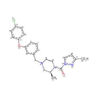 C[C@H]1CN(Cc2cccc(Oc3ccc(Cl)cc3)c2)CCN1C(=O)n1ccc(C(=O)O)n1